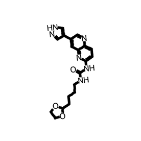 O=C(NCCCCC1OCCO1)Nc1ccc2ncc(-c3cn[nH]c3)cc2n1